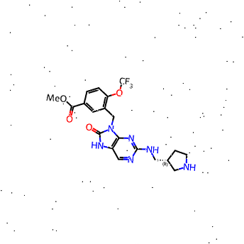 COC(=O)c1ccc(OC(F)(F)F)c(Cn2c(=O)[nH]c3cnc(NC[C@@H]4CCNC4)nc32)c1